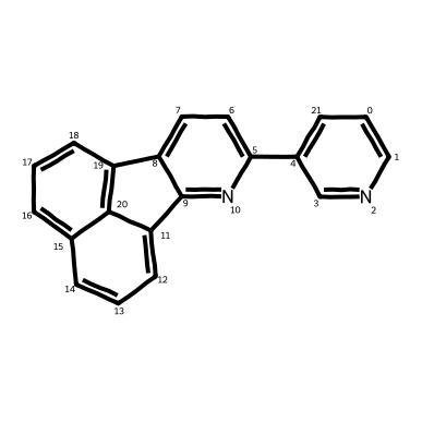 c1cncc(-c2ccc3c(n2)-c2cccc4cccc-3c24)c1